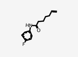 C=CCCCCC(=O)Nc1ccc(F)cc1